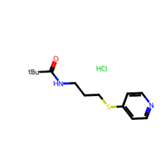 CC(C)(C)C(=O)NCCCSc1ccncc1.Cl